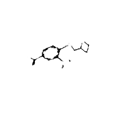 O=C(O)c1ccc(NCC2CCO2)c([N+](=O)[O-])c1